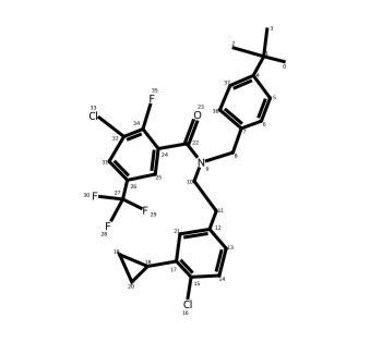 CC(C)(C)c1ccc(CN(CCc2ccc(Cl)c(C3CC3)c2)C(=O)c2cc(C(F)(F)F)cc(Cl)c2F)cc1